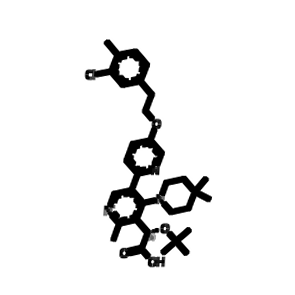 Cc1ccc(CCOc2ccc(-c3cnc(C)c([C@H](OC(C)(C)C)C(=O)O)c3N3CCC(C)(C)CC3)nc2)cc1Cl